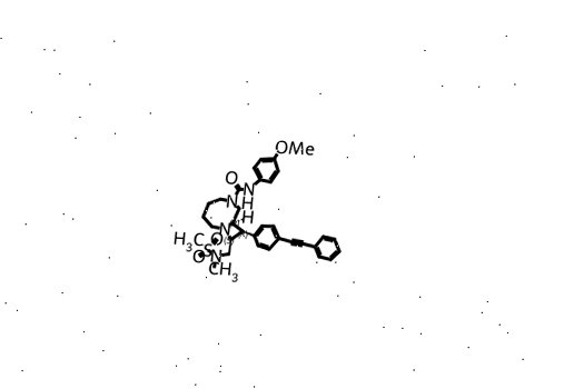 COc1ccc(NC(=O)N2CCCCN3[C@H](CN(C)S(C)(=O)=O)[C@H](c4ccc(C#Cc5ccccc5)cc4)[C@@H]3C2)cc1